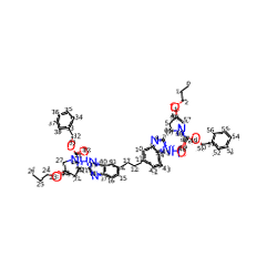 CCCO[C@@H]1C[C@@H](c2nc3cc(CCc4ccc5nc([C@@H]6C[C@@H](OCCC)CN6C(=O)OCc6ccccc6)[nH]c5c4)ccc3[nH]2)N(C(=O)OCc2ccccc2)C1